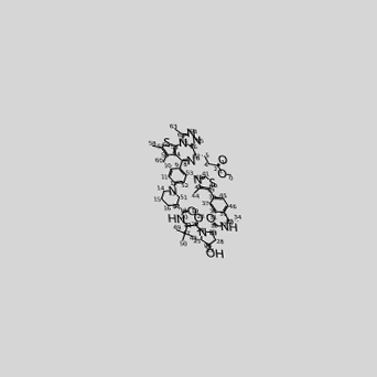 COC(=O)CC[C@@H]1N=C(c2ccc(N3CCC[C@@H](C(=O)N[C@H](C(=O)N4C[C@H](O)C[C@H]4C(=O)N[C@@H](C)c4ccc(-c5scnc5C)cc4)C(C)(C)C)C3)cc2)c2c(sc(C)c2C)-n2c(C)nnc21